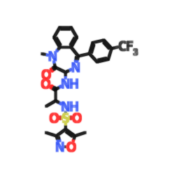 Cc1noc(C)c1S(=O)(=O)NC(C)C(=O)NC1N=C(c2ccc(C(F)(F)F)cc2)c2ccccc2N(C)C1=O